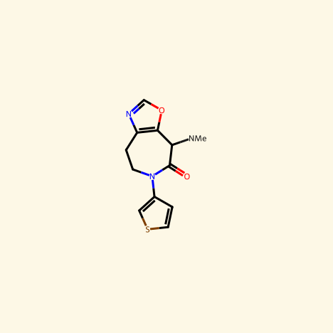 CNC1C(=O)N(c2ccsc2)CCc2ncoc21